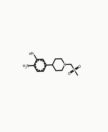 CCCc1cc(C2CCN(CS(C)(=O)=O)CC2)ccc1N